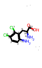 Nc1ccc(Cl)c(Cl)c1CC(N)C(=O)O